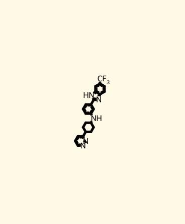 FC(F)(F)c1ccc2nc(-c3cccc(NC4CCC(c5cccnn5)CC4)c3)[nH]c2c1